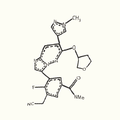 CNC(=O)c1cc(CC#N)c(F)c(-c2cnc3cc(-c4cnn(C)c4)c(OC4CCOC4)nn23)c1